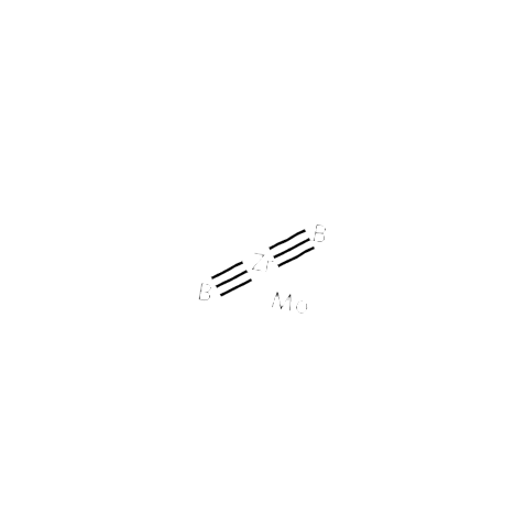 [B]#[Zr]#[B].[Mo]